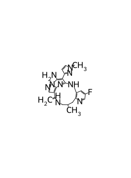 C=C1NCC(C)Cc2ncc(F)cc2CNc2nc3c1cnn3c(N)c2-c1ccn(C)n1